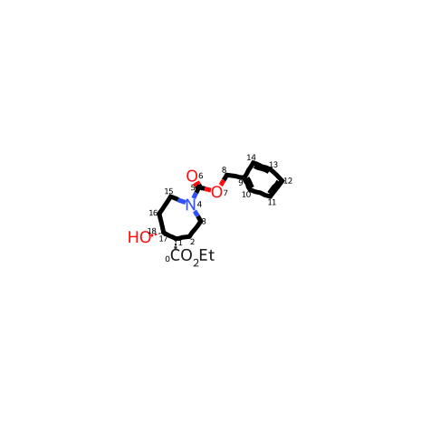 CCOC(=O)[C@H]1CCN(C(=O)OCc2ccccc2)CC[C@H]1O